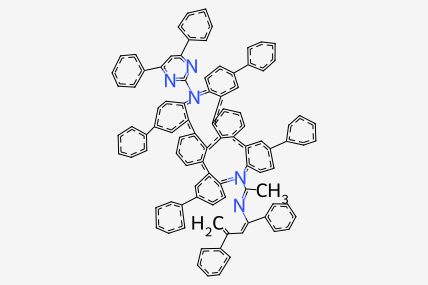 C=C(/C=C(\N=C(/C)n1c2ccc(-c3ccccc3)cc2c2cccc3c4cc(-c5ccccc5)ccc4n(-c4nc(-c5ccccc5)cc(-c5ccccc5)n4)c4ccc(-c5ccccc5)cc4c4cccc(c5cc(-c6ccccc6)ccc51)c4c23)c1ccccc1)c1ccccc1